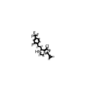 Fc1cc(C(F)(F)F)ccc1CCC1NCCn2c(C3CC3)nc(Cl)c21